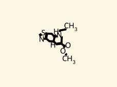 CCCN1CC(C(=O)OCC)=C[C@H]2Cc3ncsc3C[C@@H]21